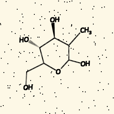 CC1C(O)OC(CO)[C@H](O)[C@H]1O